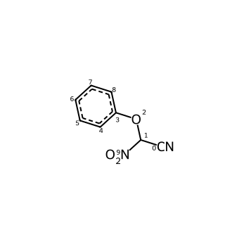 N#CC(Oc1ccccc1)[N+](=O)[O-]